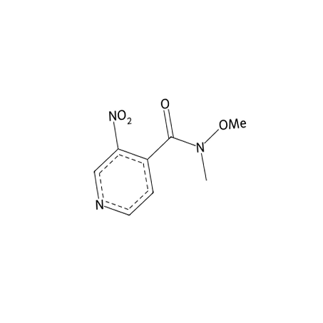 CON(C)C(=O)c1ccncc1[N+](=O)[O-]